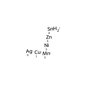 [Ag].[Cu].[Mn].[Ni].[SnH2].[Zn]